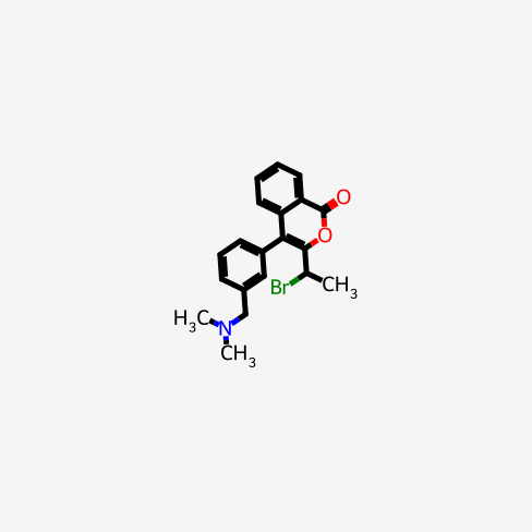 CC(Br)c1oc(=O)c2ccccc2c1-c1cccc(CN(C)C)c1